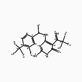 CC(Nc1nc(O)[nH]c(=O)c1C(=N)C(F)(F)F)c1ccc(C(F)(F)F)c(F)c1